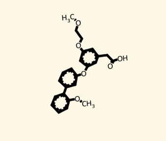 COCCOc1cc(CC(=O)O)cc(Oc2cccc(-c3ccccc3OC)c2)c1